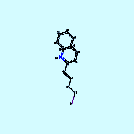 ICC/C=C/c1ccc2ccccc2n1